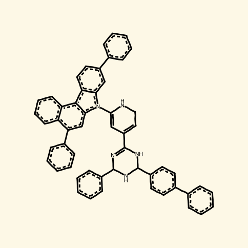 C1=C(C2=NC(c3ccccc3)NC(c3ccc(-c4ccccc4)cc3)N2)C=C(n2c3cc(-c4ccccc4)ccc3c3c4ccccc4c(-c4ccccc4)cc32)NC1